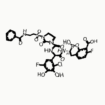 O=C(NCCS(=O)(=O)N1CCN(C(=O)NC(C(=O)N[C@H]2Cc3ccc(F)c(C(=O)O)c3OB2O)c2cc(F)c(O)c(O)c2Cl)C1=O)c1ccccc1